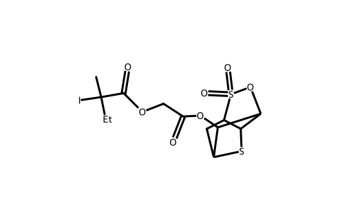 CCC(C)(I)C(=O)OCC(=O)OC1C2CC3C(S2)C1OS3(=O)=O